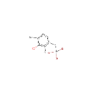 CC(C)c1ccc(CC(Br)(Br)Br)c(C(C)C)c1O